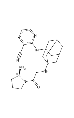 N#Cc1nccnc1NC12CC3CC(CC(NCC(=O)N4CCC[C@H]4N)(C3)C1)C2